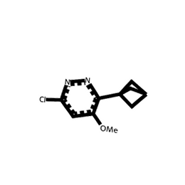 COc1cc(Cl)nnc1C12CC(C1)C2